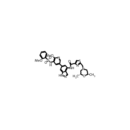 COc1ccccc1S(=O)(=O)Nc1cc(-c2cc(NC(=O)c3csc(CN4C[C@@H](C)O[C@@H](C)C4)n3)c3cn[nH]c3c2)cnc1OC